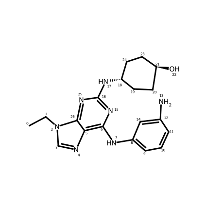 CCn1cnc2c(Nc3cccc(N)c3)nc(N[C@H]3CC[C@H](O)CC3)nc21